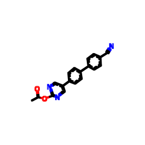 CC(=O)Oc1ncc(-c2ccc(-c3ccc(C#N)cc3)cc2)cn1